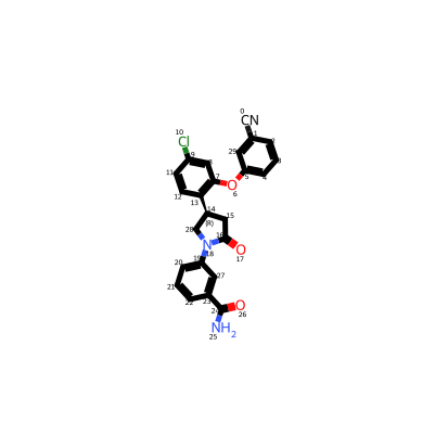 N#Cc1cccc(Oc2cc(Cl)ccc2[C@H]2CC(=O)N(c3cccc(C(N)=O)c3)C2)c1